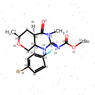 C[C@H]1C[C@H]2C(=O)N(C)/C(=N\C(=O)OC(C)(C)C)N[C@@]2(c2cc(Br)ccc2F)CO1